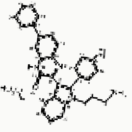 CC(=O)O.NCCCn1c(-c2ccc(Cl)cc2)c(-c2nc3ccc(-c4ccccc4)cc3[nH]c2=O)c2ccccc21